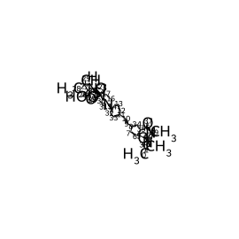 CC(C)COc1ccc(C#Cc2ccc(N3CCN(S(=O)(=O)N[C@@H](C(=O)O)C(C)C)CC3)cc2)cc1C(=O)N(C)C#N